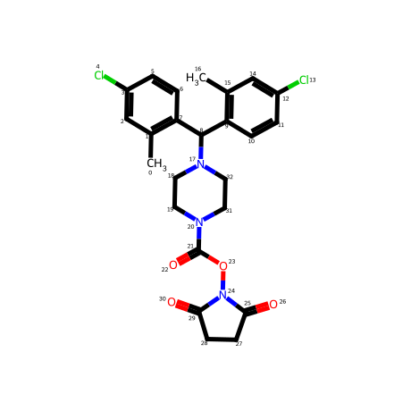 Cc1cc(Cl)ccc1C(c1ccc(Cl)cc1C)N1CCN(C(=O)ON2C(=O)CCC2=O)CC1